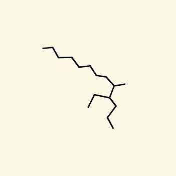 [CH2]C(CCCCCCCC)C(CC)CCC